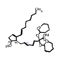 CCCCCCC=CC1=CC[C@H](O)[C@@H]1C/C=C/CCC(OC1CCCCO1)(OC1CCCCO1)C(=O)O